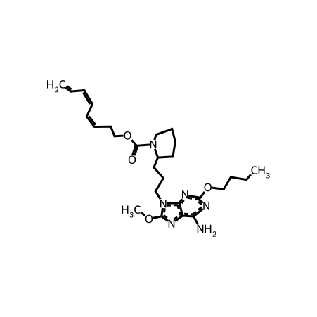 C=C/C=C\C=C/CCOC(=O)N1CCCCC1CCCn1c(OC)nc2c(N)nc(OCCCC)nc21